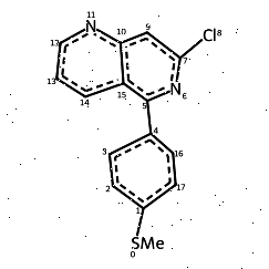 CSc1ccc(-c2nc(Cl)cc3ncccc23)cc1